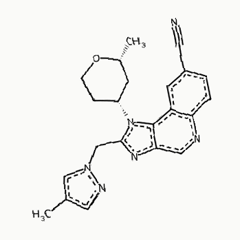 Cc1cnn(Cc2nc3cnc4ccc(C#N)cc4c3n2[C@@H]2CCO[C@H](C)C2)c1